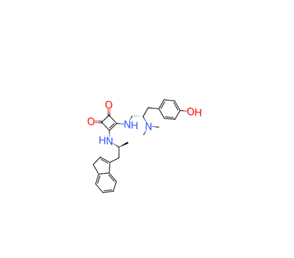 C[C@@H](CC1=CCc2ccccc21)Nc1c(NC[C@H](Cc2ccc(O)cc2)N(C)C)c(=O)c1=O